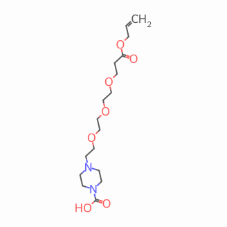 C=CCOC(=O)CCOCCOCCOCCN1CCN(C(=O)O)CC1